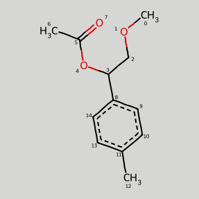 COCC(OC(C)=O)c1ccc(C)cc1